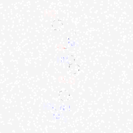 N=C(N)Nc1ccc(C(=O)Oc2ccc3cc(C(=O)N[C@@H](Cc4ccc(O)cc4)C(=O)O)[nH]c3c2)cc1